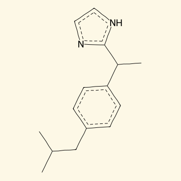 CC(C)Cc1ccc(C(C)c2ncc[nH]2)cc1